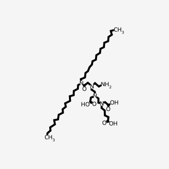 CCCCCCCCCCCCCCCCCCN(CCCCCCCCCCCCCCCCCC)C(=O)CN(CCN)CCN(CCN(CCCCC(=O)O)CC(=O)O)CC(=O)O